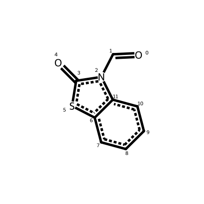 O=Cn1c(=O)sc2ccccc21